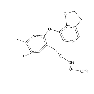 Cc1cc(Oc2cccc3c2OCC3)c(CCNOC=O)cc1F